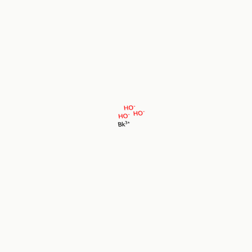 [Bk+3].[OH-].[OH-].[OH-]